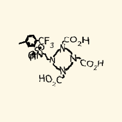 Cc1ccc(C(F)(F)F)c(S(=O)(=O)NCCN2CCN(CC(=O)O)CCN(CC(=O)O)CCN(CC(=O)O)CC2)c1